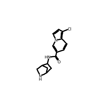 O=C(NC1CC2CC1CN2)c1ccc2c(Cl)ccn2c1